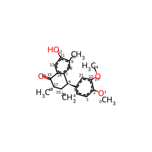 COc1ccc([C@@H]2c3cc(C)c(O)cc3C(=O)[C@@H](C)[C@H]2C)cc1OC